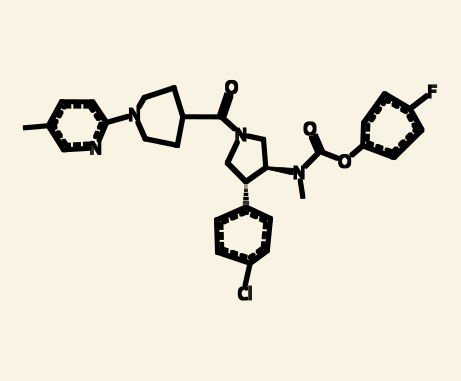 Cc1ccc(N2CCC(C(=O)N3C[C@@H](N(C)C(=O)Oc4ccc(F)cc4)[C@H](c4ccc(Cl)cc4)C3)CC2)nc1